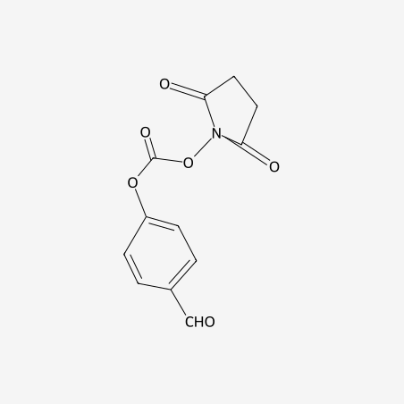 O=Cc1ccc(OC(=O)ON2C(=O)CCC2=O)cc1